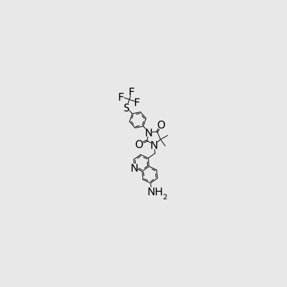 CC1(C)C(=O)N(c2ccc(SC(F)(F)F)cc2)C(=O)N1Cc1ccnc2cc(N)ccc12